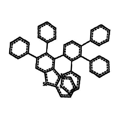 c1ccc(-c2ccc(-c3c(-c4ccccc4)c(-c4ccccc4)cc4[se]c5ccccc5c34)c(-c3ccnnn3)c2-c2ccccc2)cc1